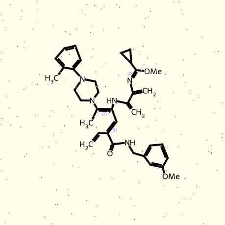 C=C/C(=C\C(NC(=C)C(=C)/N=C(\OC)C1CC1)=C(/C)N1CCN(c2ccccc2C)CC1)C(=O)NCc1cccc(OC)c1